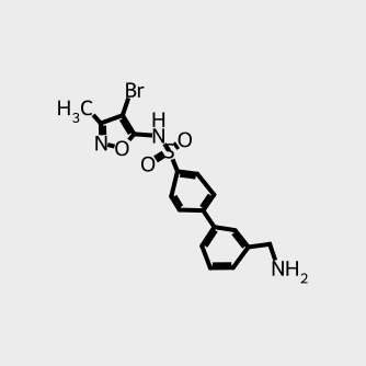 Cc1noc(NS(=O)(=O)c2ccc(-c3cccc(CN)c3)cc2)c1Br